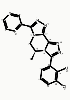 C[C@H]1Cn2c(-c3cnccn3)nnc2-c2nnc(-c3cccc(Cl)c3Cl)n21